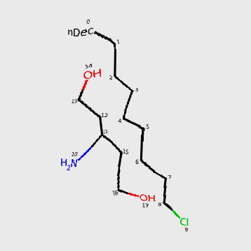 CCCCCCCCCCCCCCCCCCCl.NC(CCO)CCO